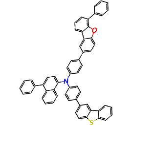 c1ccc(-c2ccc(N(c3ccc(-c4ccc5oc6c(-c7ccccc7)cccc6c5c4)cc3)c3ccc(-c4ccc5sc6ccccc6c5c4)cc3)c3ccccc23)cc1